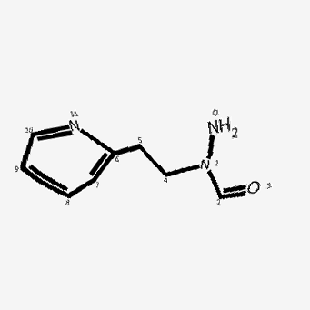 NN([C]=O)CCc1ccccn1